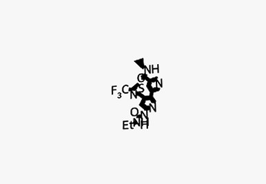 CCNC(=O)Nc1cc(-c2nc(C(F)(F)F)cs2)c(-c2cncc(C(=O)NC3CC3)c2)cn1